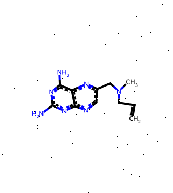 C=CCN(C)Cc1cnc2nc(N)nc(N)c2n1